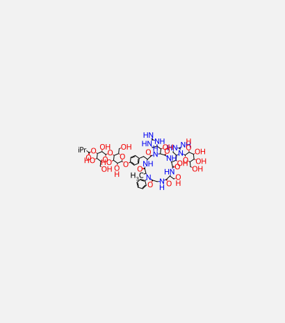 CC(C)C(=O)OC1C(O)C(CO)OC(OC2C(CO)OC(Oc3ccc(CC4NC(=O)C(C)N(c5ccccc5)C(=O)CNC(=O)C(CO)NC(=O)C(C(O)C5CNC(=N)N5C5OC(CO)C(O)C(O)C5O)NC(=O)C(C(O)C5CNC(=N)N5)NC4=O)cc3)C(O)C2O)C1O